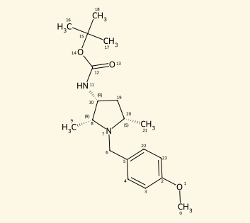 COc1ccc(CN2[C@H](C)[C@H](NC(=O)OC(C)(C)C)C[C@@H]2C)cc1